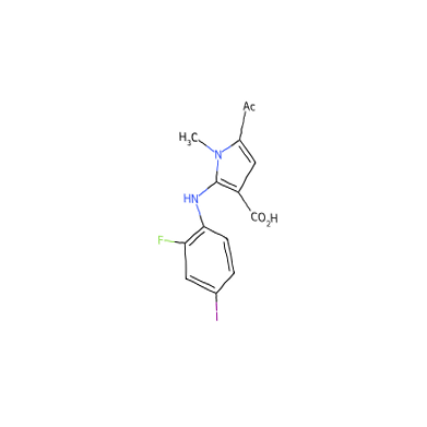 CC(=O)c1cc(C(=O)O)c(Nc2ccc(I)cc2F)n1C